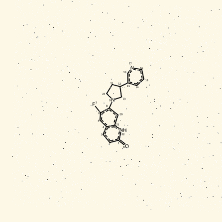 O=c1ccc2cc(F)c(N3CCC(c4cccnc4)C3)cc2[nH]1